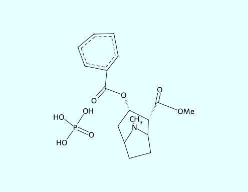 COC(=O)[C@@H]1C2CCC(C[C@@H]1OC(=O)c1ccccc1)N2C.O=P(O)(O)O